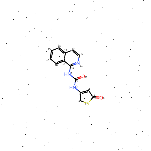 O=C(NC1=CC(=O)SC1)Nc1nccc2ccccc12